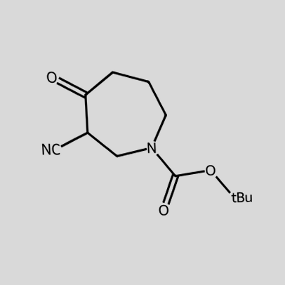 CC(C)(C)OC(=O)N1CCCC(=O)C(C#N)C1